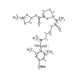 COc1cc(C)c(S(=O)(=O)N(C)CCOCC(=O)N(C)C2CCCN(C(=O)CC3CCN(C)C3)C2)c(C)c1